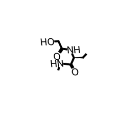 CC[C@H](NC(=O)CO)C(=O)NC